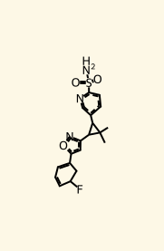 CC1(C)C(c2ccc(S(N)(=O)=O)nc2)C1c1cc(C2=CC=CC(F)C2)on1